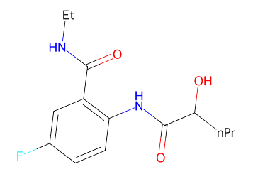 CCCC(O)C(=O)Nc1ccc(F)cc1C(=O)NCC